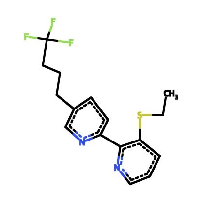 CCSc1cccnc1-c1ccc(CCCC(F)(F)F)cn1